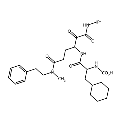 CC(C)NC(=O)C(=O)C(CCC(=O)N(C)CCc1ccccc1)NC(=O)C(CC1CCCCC1)NC(=O)O